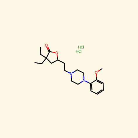 CCC1(CC)CC(CCN2CCN(c3ccccc3OC)CC2)OC1=O.Cl.Cl